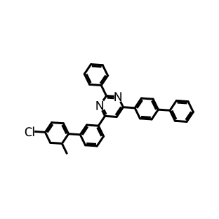 CC1CC(Cl)=CC=C1c1cccc(-c2cc(-c3ccc(-c4ccccc4)cc3)nc(-c3ccccc3)n2)c1